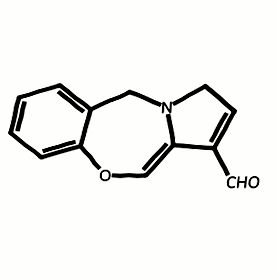 O=CC1=CCN2Cc3ccccc3OC=C12